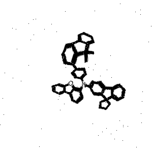 CC1(C)c2ccccc2-c2cccc(-c3ccc(N(c4ccc5c(c4)C4(CCCC4)c4ccccc4-5)c4cccc5c4oc4ccccc45)cc3)c21